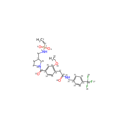 C=CS(=O)(=O)NCC1CCN(C(=O)c2ccc(CC(=O)NCc3ccc(C(F)(F)F)cc3)c(OC)c2)C1